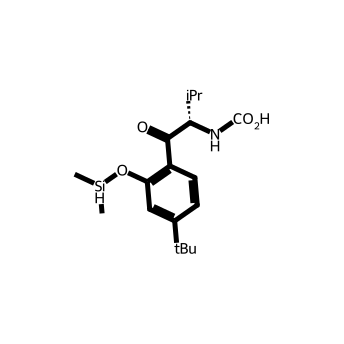 CC(C)[C@H](NC(=O)O)C(=O)c1ccc(C(C)(C)C)cc1O[SiH](C)C